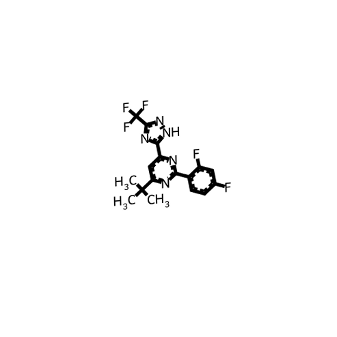 CC(C)(C)c1cc(-c2nc(C(F)(F)F)n[nH]2)nc(-c2ccc(F)cc2F)n1